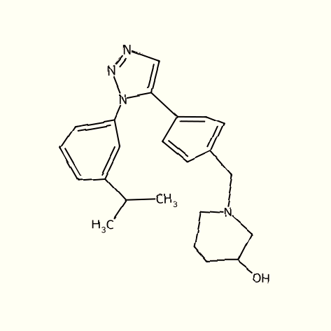 CC(C)c1cccc(-n2nncc2-c2ccc(CN3CCCC(O)C3)cc2)c1